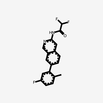 Cc1ccc(F)cc1-c1ccc2cc(NC(=O)C(F)F)ncc2c1